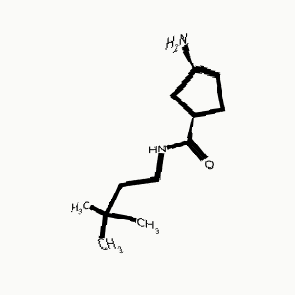 CC(C)(C)CCNC(=O)[C@@H]1CC[C@H](N)C1